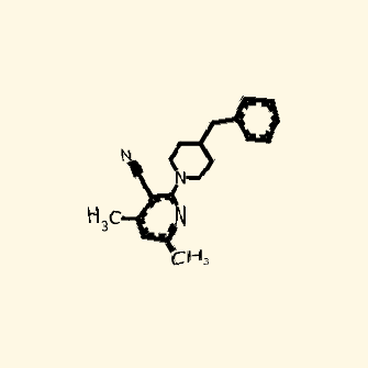 Cc1cc(C)c(C#N)c(N2CCC(Cc3ccccc3)CC2)n1